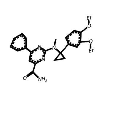 CCOc1ccc(C2(N(C)c3nc(C(N)=O)cc(-c4ccccc4)n3)CC2)cc1OCC